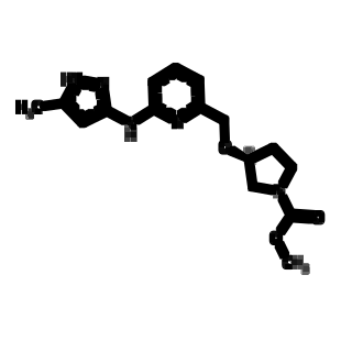 COC(=O)N1CC[C@H](OCc2cccc(Nc3cc(C)[nH]n3)n2)C1